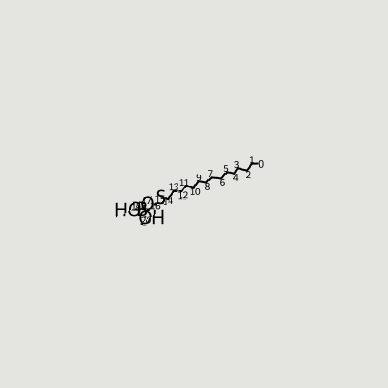 CCCCCCCCCCCCCCCSCOB(O)O